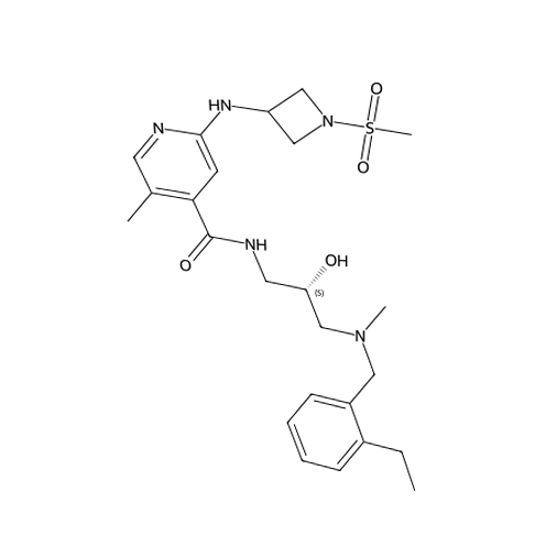 CCc1ccccc1CN(C)C[C@@H](O)CNC(=O)c1cc(NC2CN(S(C)(=O)=O)C2)ncc1C